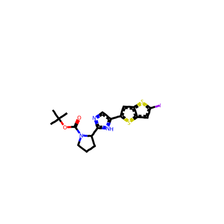 CC(C)(C)OC(=O)N1CCCC1c1ncc(-c2cc3sc(I)cc3s2)[nH]1